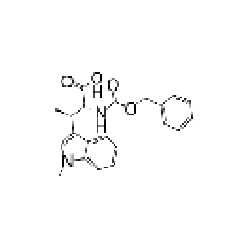 C[C@H](c1cn(C)c2ccccc12)[C@@H](NC(=O)OCc1ccccc1)C(=O)O